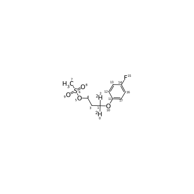 [2H]C([2H])(CCOS(C)(=O)=O)Oc1ccc(F)cc1